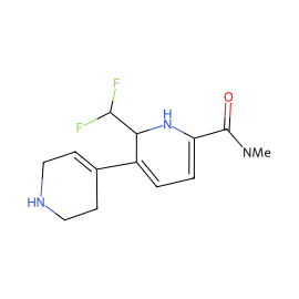 CNC(=O)C1=CC=C(C2=CCNCC2)C(C(F)F)N1